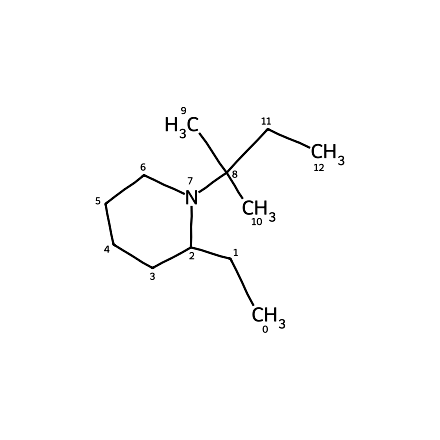 CCC1CCCCN1C(C)(C)CC